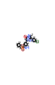 Cc1nn2c(=O)cc(-c3ccc(NS(=O)(=O)Cc4ccccc4)cc3)[nH]c2c1-c1ccc(Cl)cc1